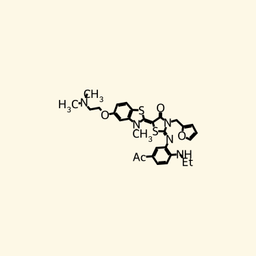 CCNc1ccc(C(C)=O)cc1N=C1SC(=C2Sc3ccc(OCCN(C)C)cc3N2C)C(=O)N1Cc1ccco1